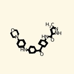 Cc1cc(C(=O)Nc2ccc(C(=O)c3ccc(Nc4ccc(N5CCOCC5)cc4)cc3)cc2)[nH]n1